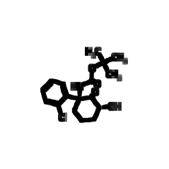 CC(C)(C)OC(=O)N[C@]1(c2ccccc2Cl)CCC[C@H](O)C1=O